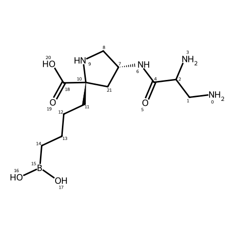 NCC(N)C(=O)N[C@H]1CN[C@@](CCCCB(O)O)(C(=O)O)C1